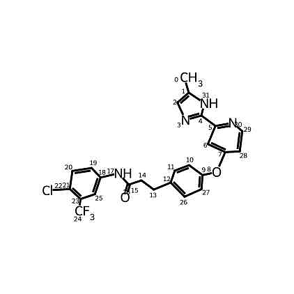 Cc1cnc(-c2cc(Oc3ccc(CCC(=O)Nc4ccc(Cl)c(C(F)(F)F)c4)cc3)ccn2)[nH]1